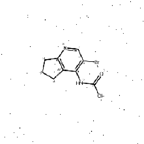 O=C(O)Nc1c(Br)cnc2c1CCC2